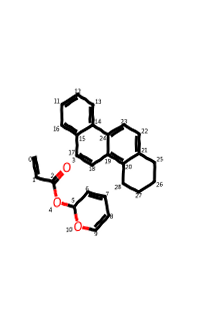 C=CC(=O)OC1C=CC=CO1.c1ccc2c(c1)ccc1c3c(ccc12)CCCC3